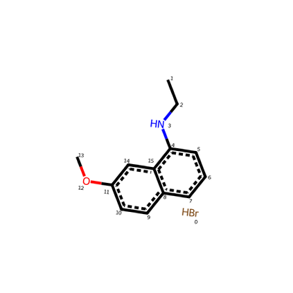 Br.CCNc1cccc2ccc(OC)cc12